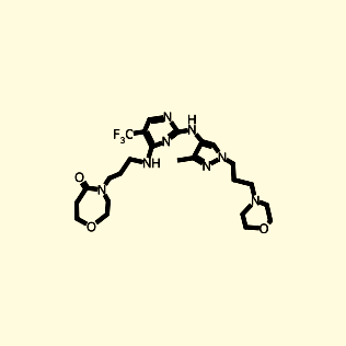 Cc1nn(CCCN2CCOCC2)cc1Nc1ncc(C(F)(F)F)c(NCCCN2CCOCCC2=O)n1